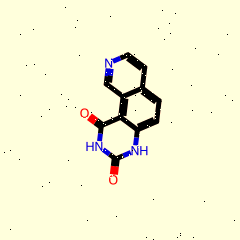 O=c1[nH]c(=O)c2c(ccc3ccncc32)[nH]1